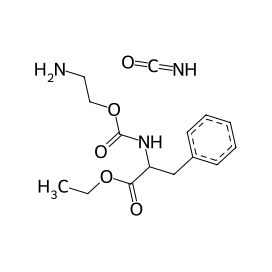 CCOC(=O)C(Cc1ccccc1)NC(=O)OCCN.N=C=O